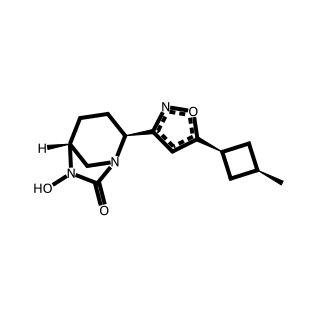 C[C@H]1C[C@@H](c2cc([C@@H]3CC[C@@H]4CN3C(=O)N4O)no2)C1